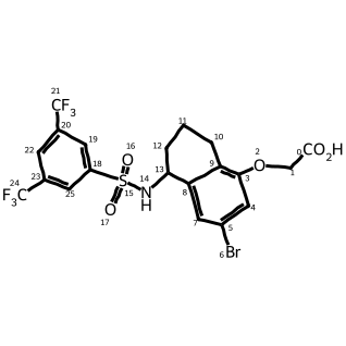 O=C(O)COc1cc(Br)cc2c1CCCC2NS(=O)(=O)c1cc(C(F)(F)F)cc(C(F)(F)F)c1